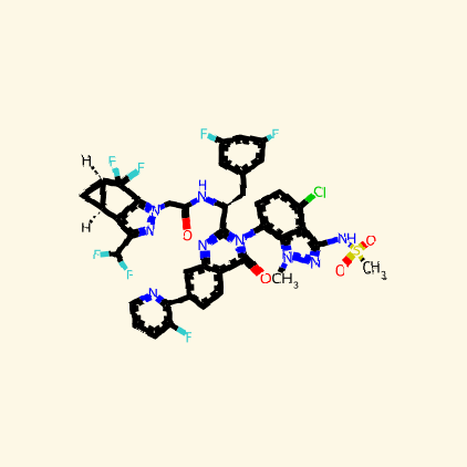 Cn1nc(NS(C)(=O)=O)c2c(Cl)ccc(-n3c([C@H](Cc4cc(F)cc(F)c4)NC(=O)Cn4nc(C(F)F)c5c4C(F)(F)[C@@H]4C[C@H]54)nc4cc(-c5ncccc5F)ccc4c3=O)c21